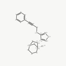 C(#Cc1ccccc1)CSc1nsnc1[C@H]1CN2CCC[C@H]1C2